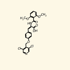 COc1cccc(OC)c1C(=O)NC(=Cc1ccc(OCc2c(Cl)cncc2Cl)cc1)C(=O)O